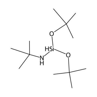 CC(C)(C)N[SiH](OC(C)(C)C)OC(C)(C)C